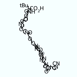 C[C@@H]1CN(c2ncc(-c3ccc4c(n3)N(Cc3cccnc3C#N)C(C)(C)C4=O)cn2)CCN1C(=O)Cn1cc(COCCOCCC(=O)N2CCC(Oc3ccc(Oc4cccc(OCC(=O)N[C@@H](CCC(C)(C)C)C(=O)O)c4)nc3)CC2)nn1